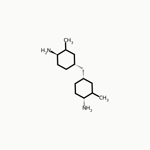 CC1C[C@H](C[C@H]2CC[C@@H](N)C(C)C2)CC[C@H]1N